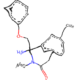 COc1ccc2c(c1)C(N)(COc1ccccc1)N(OC)C2=O